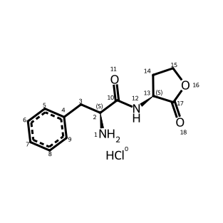 Cl.N[C@@H](Cc1ccccc1)C(=O)N[C@H]1CCOC1=O